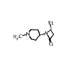 CC[C@H]1CC(=O)N1C1CCN(C)CC1